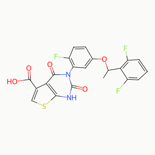 CC(Oc1ccc(F)c(-n2c(=O)[nH]c3scc(C(=O)O)c3c2=O)c1)c1c(F)cccc1F